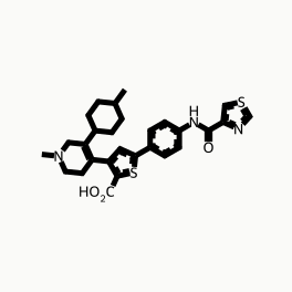 CC1CCC(C2=C(c3cc(-c4ccc(NC(=O)c5cscn5)cc4)sc3C(=O)O)CCN(C)C2)CC1